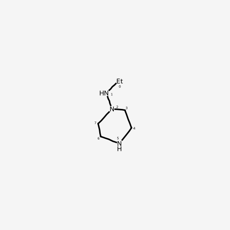 CCNN1CCNCC1